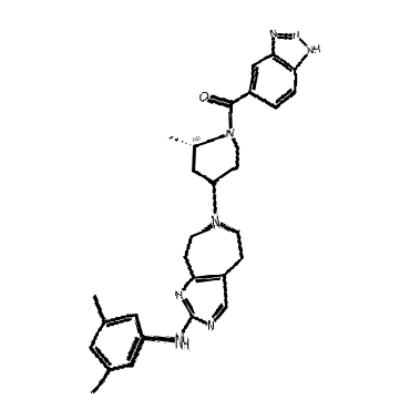 Cc1cc(C)cc(Nc2ncc3c(n2)CCN(C2CCN(C(=O)c4ccc5[nH]nnc5c4)[C@@H](C)C2)CC3)c1